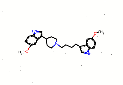 COc1ccc2[nH]cc(CCCCN3CCC(c4c[nH]c5ccc(OC)cc45)CC3)c2c1